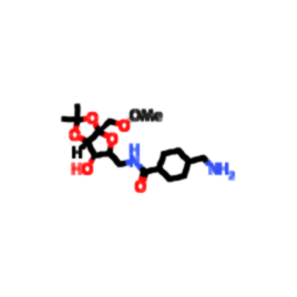 COOC[C@@]12OC(CNC(=O)C3CCC(CN)CC3)[C@@H](O)[C@@H]1OC(C)(C)O2